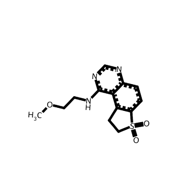 COCCNc1ncnc2ccc3c(c12)CCS3(=O)=O